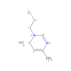 CC1=CCN(CCCl)C=N1.Cl